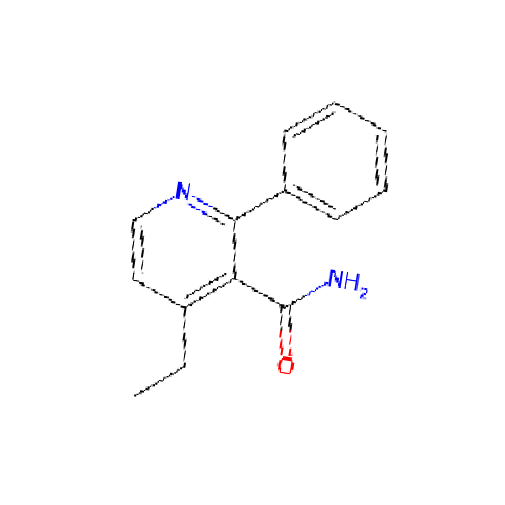 CCc1ccnc(-c2ccccc2)c1C(N)=O